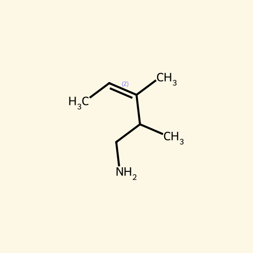 C/C=C(/C)C(C)CN